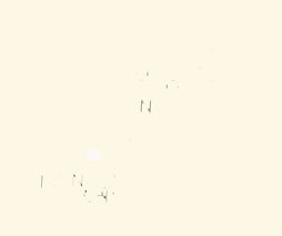 CN(C)/C=C1/CC2(C=CC1=O)CCN(C(=O)OCc1ccccc1)CC2